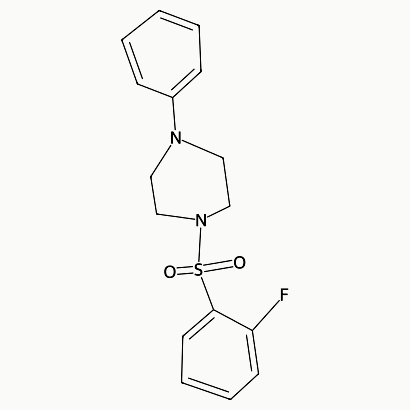 O=S(=O)(c1ccccc1F)N1CCN(c2ccccc2)CC1